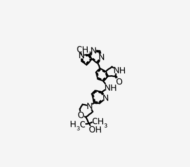 Cn1ccc2c(-c3ccc(Nc4ccc(N5CCOC(C(C)(C)O)C5)cn4)c4c3CNC4=O)ncnc21